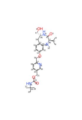 CC(C)[C@@H]1C(=O)N[C@@H](CO)Cc2ccc(OCc3ccc(COC(=O)NC(C)(C)C)cn3)cc2N1C